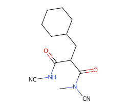 CN(C#N)C(=O)C(CC1CCCCC1)C(=O)NC#N